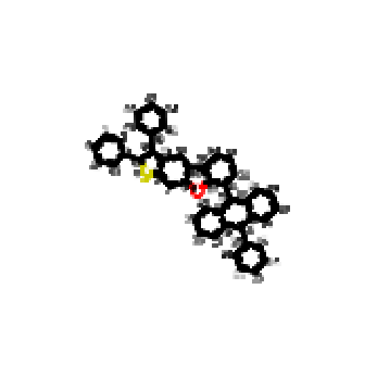 c1ccc(-c2sc3cc4oc5c(-c6c7ccccc7c(-c7ccccc7)c7ccccc67)cccc5c4cc3c2-c2ccccc2)cc1